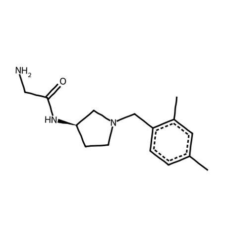 Cc1ccc(CN2CC[C@@H](NC(=O)CN)C2)c(C)c1